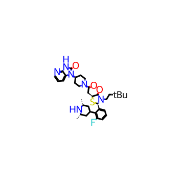 C[C@@H]1CC(c2c(F)cccc2[C@H]2S[C@@H](CC(=O)N3CCC(n4c(=O)[nH]c5ncccc54)CC3)C(=O)N2CCC(C)(C)C)C[C@H](C)N1